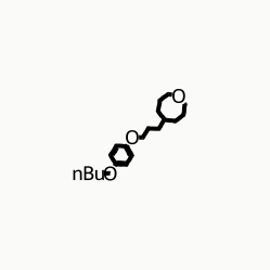 CCCCOc1ccc(OCCCC2CCCOCCC2)cc1